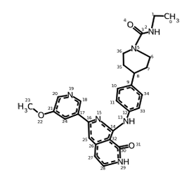 CCNC(=O)N1CCC(c2ccc(Nc3nc(-c4cncc(OC)c4)cc4cc[nH]c(=O)c34)cc2)CC1